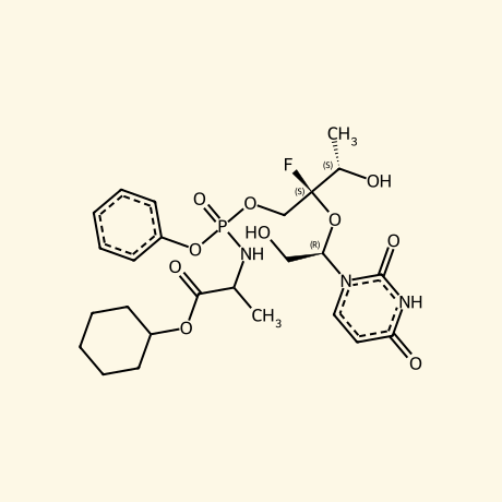 CC(NP(=O)(OC[C@@](F)(O[C@H](CO)n1ccc(=O)[nH]c1=O)[C@H](C)O)Oc1ccccc1)C(=O)OC1CCCCC1